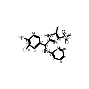 Cc1[nH]c(C(Nc2ccccn2)c2ccc(F)c(Cl)c2)nc1S(C)(=O)=O